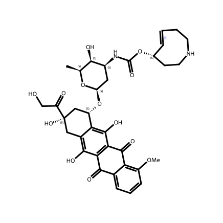 COc1cccc2c1C(=O)c1c(O)c3c(c(O)c1C2=O)C[C@@](O)(C(=O)CO)C[C@@H]3O[C@@H]1C[C@H](NC(=O)O[C@@H]2/C=C/CCNCC2)[C@H](O)[C@H](C)O1